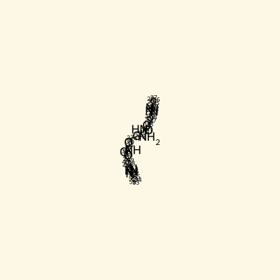 CC(C)(CCOC(C)(N)CCNC(=O)OCc1ccc(-c2nnc(-c3ccccc3)nn2)cc1)OCCNC(=O)OCc1ccc(-c2nnc(-c3ccccc3)nn2)cc1